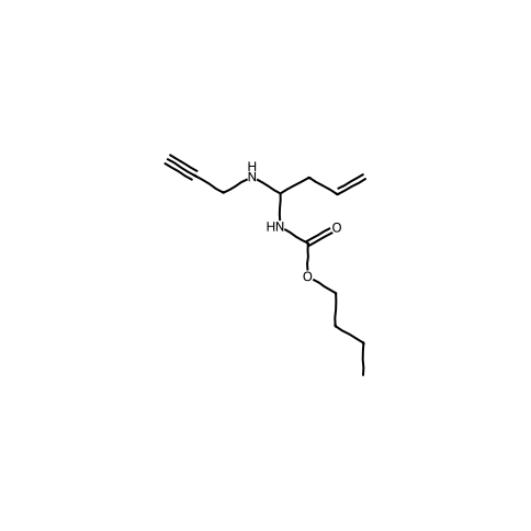 C#CCNC(CC=C)NC(=O)OCCCC